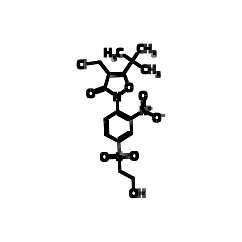 CC(C)(C)c1on(-c2ccc(S(=O)(=O)CCO)cc2[N+](=O)[O-])c(=O)c1CCl